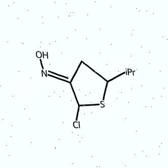 [CH2]C(C)C1CC(=NO)C(Cl)S1